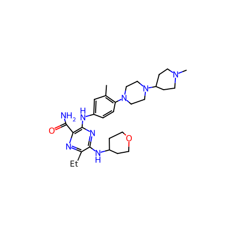 CCc1nc(C(N)=O)c(Nc2ccc(N3CCN(C4CCN(C)CC4)CC3)c(C)c2)nc1NC1CCOCC1